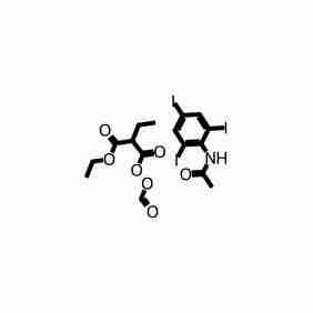 CC(=O)Nc1c(I)cc(I)cc1I.CCOC(=O)C(CC)C(=O)OOC=O